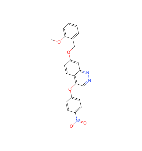 COc1ccccc1COc1ccc2c(Oc3ccc([N+](=O)[O-])cc3)cnnc2c1